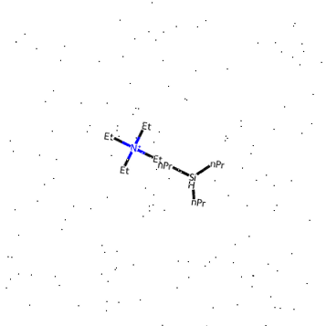 CCC[SiH](CCC)CCC.CC[N+](CC)(CC)CC